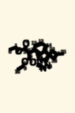 CCOC(=O)C(C(=O)OCC)c1cccc(C2(c3nncn3C)CC(C)C2)c1